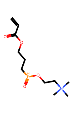 C=CC(=O)OCCC[PH](=O)OCC[N+](C)(C)C